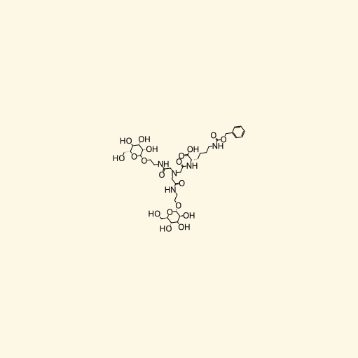 O=C(CN(CC(=O)NCCO[C@H]1O[C@H](CO)[C@@H](O)[C@H](O)[C@@H]1O)CC(=O)N[C@@H](CCCCNC(=O)OCc1ccccc1)C(=O)O)NCCO[C@H]1O[C@H](CO)[C@@H](O)[C@H](O)[C@@H]1O